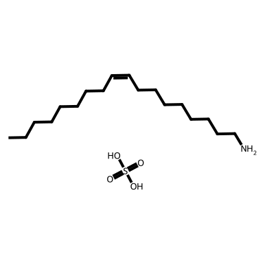 CCCCCCCC/C=C\CCCCCCCCN.O=S(=O)(O)O